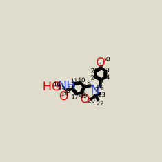 COc1ccc(CN2Cc3ccc(C(=O)NO)cc3OCC2(C)C)cc1